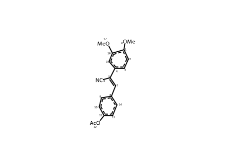 COc1ccc(C(C#N)=Cc2ccc(OC(C)=O)cc2)cc1OC